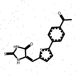 CC(=O)c1ccc(-c2ccc(C=C3NC(=S)NC3=O)s2)cc1